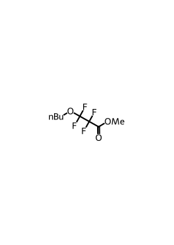 CCCCOC(F)(F)C(F)(F)C(=O)OC